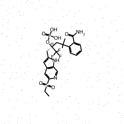 CCS(=O)(=O)c1cc2cc(C[C@@](CC(C)(C)c3ccccc3C(N)=O)(OP(=O)(O)O)C(F)(F)F)[nH]c2cn1